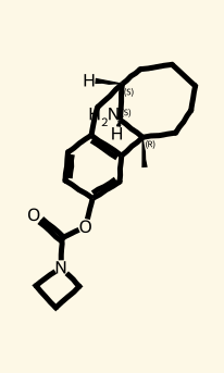 C[C@@]12CCCCC[C@@H](Cc3ccc(OC(=O)N4CCC4)cc31)[C@@H]2N